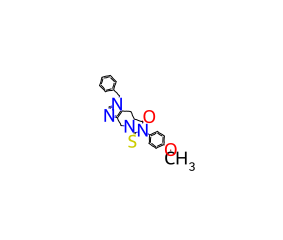 COc1ccc(N2C(=O)C3Cc4c(ncn4Cc4ccccc4)CN3C2=S)cc1